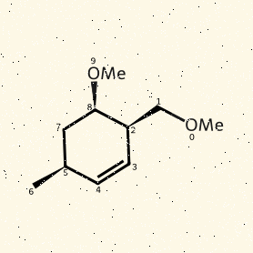 COC[C@H]1C=C[C@@H](C)C[C@H]1OC